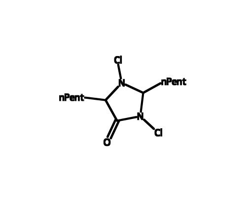 CCCCCC1C(=O)N(Cl)C(CCCCC)N1Cl